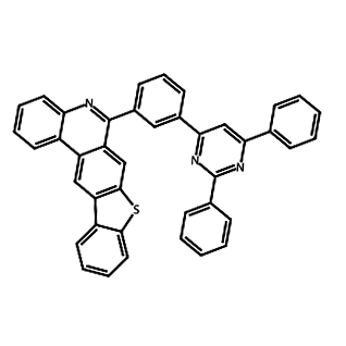 c1ccc(-c2cc(-c3cccc(-c4nc5ccccc5c5cc6c(cc45)sc4ccccc46)c3)nc(-c3ccccc3)n2)cc1